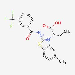 CCC(C(=O)O)n1/c(=N/C(=O)c2cccc(C(F)(F)F)c2)sc2ccc(C)cc21